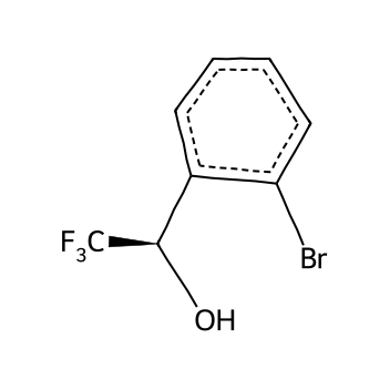 O[C@H](c1ccccc1Br)C(F)(F)F